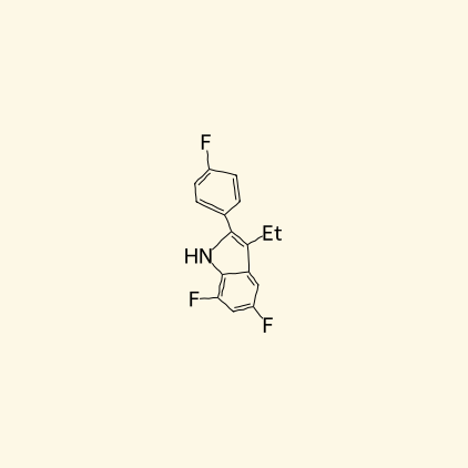 [CH2]Cc1c(-c2ccc(F)cc2)[nH]c2c(F)cc(F)cc12